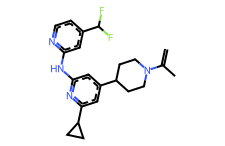 C=C(C)N1CCC(c2cc(Nc3cc(C(F)F)ccn3)nc(C3CC3)c2)CC1